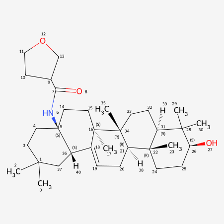 CC1(C)CC[C@]2(NC(=O)C3CCOC3)CC[C@]3(C)C(=CC[C@@H]4[C@@]5(C)CC[C@H](O)C(C)(C)[C@@H]5CC[C@]43C)[C@@H]2C1